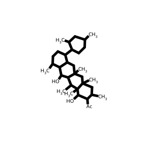 CC(=O)C1C(C)CC2(C)CC3(C)CC4C(C5CCC(C)CC5C)CCC(C)C4C(O)C3C(C)C2(C)C1O